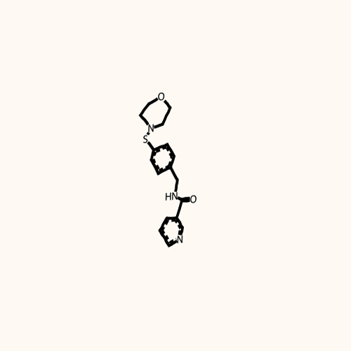 O=C(NCc1ccc(SN2CCOCC2)cc1)c1cccnc1